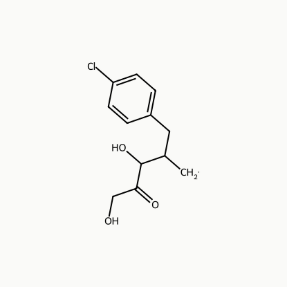 [CH2]C(Cc1ccc(Cl)cc1)C(O)C(=O)CO